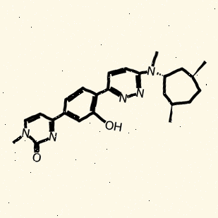 C[C@@H]1CC[C@H](C)C[C@@H](N(C)c2ccc(-c3ccc(-c4ccn(C)c(=O)n4)cc3O)nn2)C1